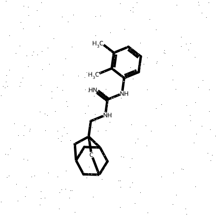 Cc1cccc(NC(=N)NCC23CC4CC(CC2C4)C3)c1C